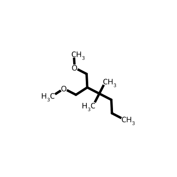 CCCC(C)(C)C(COC)COC